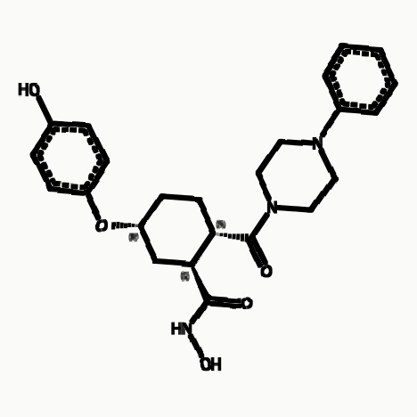 O=C(NO)[C@H]1C[C@H](Oc2ccc(O)cc2)CC[C@@H]1C(=O)N1CCN(c2ccccc2)CC1